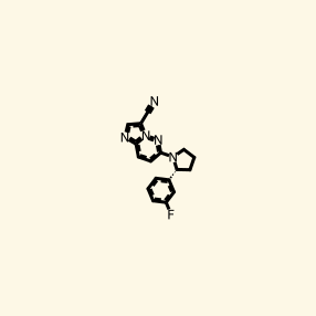 N#Cc1cnc2ccc(N3CCC[C@@H]3c3cccc(F)c3)nn12